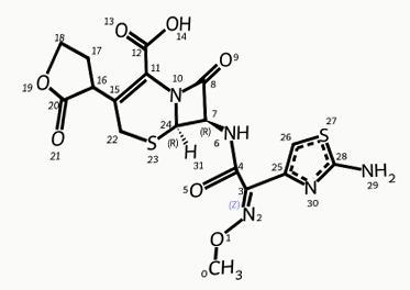 CO/N=C(\C(=O)N[C@@H]1C(=O)N2C(C(=O)O)=C(C3CCOC3=O)CS[C@H]12)c1csc(N)n1